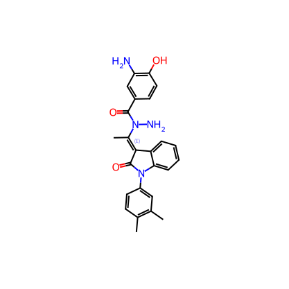 C/C(=C1\C(=O)N(c2ccc(C)c(C)c2)c2ccccc21)N(N)C(=O)c1ccc(O)c(N)c1